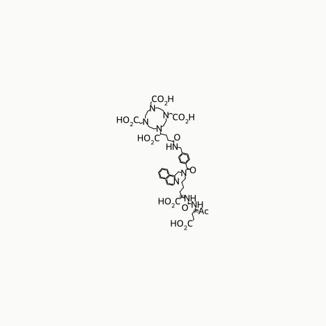 CC(=O)[C@@H](CCC(=O)O)NC(=O)N[C@H](CCCCN(Cc1nccc2ccccc12)C(=O)c1ccc(CNC(=O)CCC(C(=O)O)N2CCN(CC(=O)O)CCN(CC(=O)O)CCN(CC(=O)O)CC2)cc1)C(=O)O